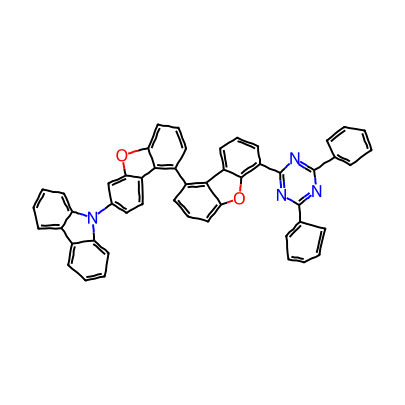 c1ccc(-c2nc(-c3ccccc3)nc(-c3cccc4c3oc3cccc(-c5cccc6oc7cc(-n8c9ccccc9c9ccccc98)ccc7c56)c34)n2)cc1